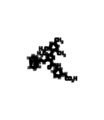 Cc1cc(C)c(-c2nc(C(=O)Nc3cccc(CC(=O)O)c3)c(CCC34CC5CC(CC(C5)C3)C4)n2C)c(C)c1